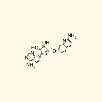 Nc1ccc2ccc(OC[C@@H]3S[C@@H](n4ccc5c(N)ncnc54)[C@H](O)[C@@H]3O)cc2n1